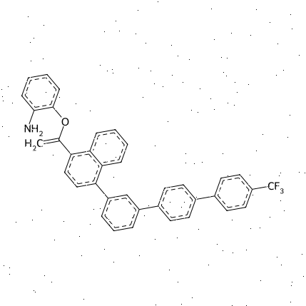 C=C(Oc1ccccc1N)c1ccc(-c2cccc(-c3ccc(-c4ccc(C(F)(F)F)cc4)cc3)c2)c2ccccc12